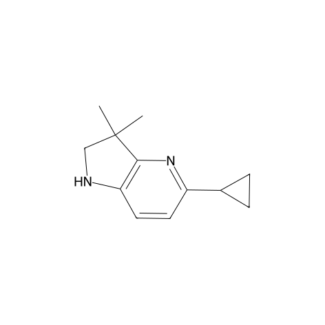 CC1(C)CNc2ccc(C3CC3)nc21